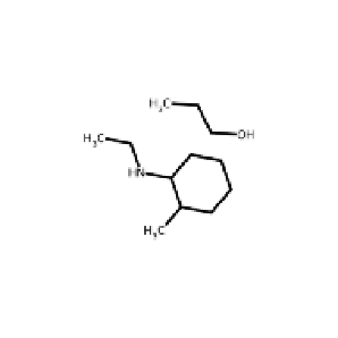 CCCO.CCNC1CCCCC1C